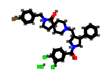 Cl.O=C(c1ccc(Cl)c(Cl)c1)N1CC(CN2CCC3(CC2)CCN(Cc2ccc(Br)cc2)C3=O)C(c2ccccc2)C1